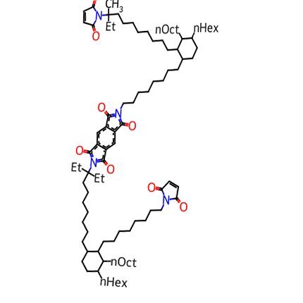 CCCCCCCCC1C(CCCCCC)CCC(CCCCCCCCn2c(=O)c3cc4c(=O)n(C(CC)(CC)CCCCCCCC5CCC(CCCCCC)C(CCCCCCCC)C5CCCCCCCCN5C(=O)C=CC5=O)c(=O)c4cc3c2=O)C1CCCCCCCCC(C)(CC)N1C(=O)C=CC1=O